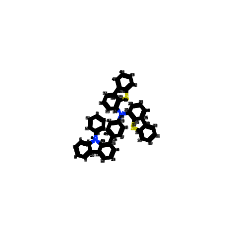 c1ccc(-n2c3ccccc3c3cccc(-c4ccc(N(c5cccc6c5sc5ccccc56)c5cccc6c5sc5ccccc56)cc4)c32)cc1